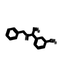 CC1C=CC=C(C(N)NCc2ccccc2)C1